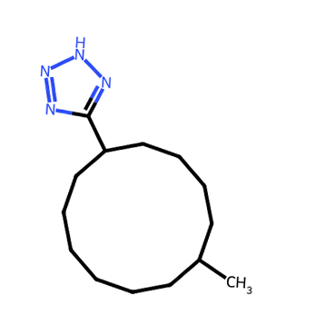 CC1CCCCCCC(c2nn[nH]n2)CCCC1